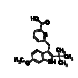 COc1ccc2c(Cc3cccc(C(=O)O)n3)c(C(C)(C)C)[nH]c2c1